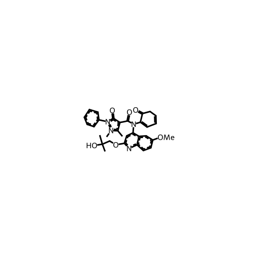 COc1ccc2nc(OCC(C)(C)O)cc(N(C(=O)c3c(C)n(C)n(-c4ccccc4)c3=O)C3=CC=CCC3=O)c2c1